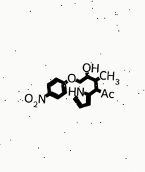 CC(=O)C(c1ccc[nH]1)C(C)C(O)COc1ccc([N+](=O)[O-])cc1